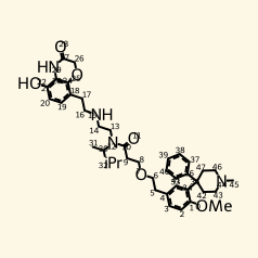 COc1ccc(CCOCCC(=O)N(CCNCCc2ccc(O)c3c2OCC(=O)N3)C(C)C(C)C)cc1C1(c2ccccc2)CCN(C)CC1